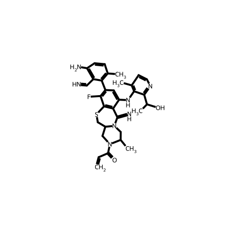 C=CC(=O)N1CC2CSc3c(F)c(-c4c(C)ccc(N)c4C=N)cc(Nc4c(C)ccnc4C(C)O)c3C(=N)N2CC1C